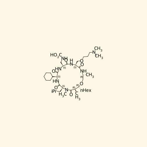 CCCCCC[C@H]1OC[C@@H](C)NC(=O)[C@H](COCCCN(C)C)NC(=O)[C@H](CNC(=O)O)NC(=O)[C@H](C2CCCCC2)NC(=O)[C@H](CC(C)C)N(C)C(=O)[C@@H]1C